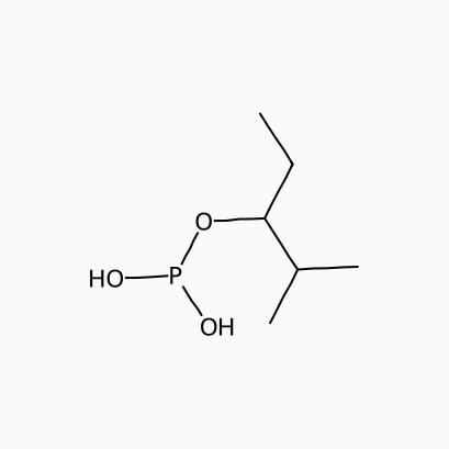 CCC(OP(O)O)C(C)C